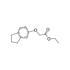 CCOC(=O)COc1ccc2c(c1)CCC2